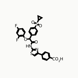 O=C(O)c1ccc(-c2csc(NC(=O)C(Oc3ccc(F)cc3F)c3ccc(S(=O)(=O)C4CC4)cc3)n2)cc1